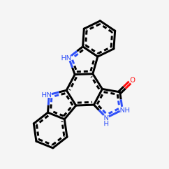 O=c1[nH][nH]c2c1c1c3ccccc3[nH]c1c1[nH]c3ccccc3c12